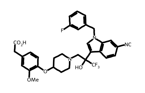 [C-]#[N+]c1ccc2c(C(O)(CN3CCC(Oc4ccc(CC(=O)O)cc4OC)CC3)C(F)(F)F)cn(Cc3cccc(F)c3)c2c1